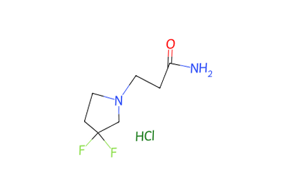 Cl.NC(=O)CCN1CCC(F)(F)C1